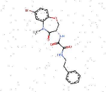 CN1C(=O)[C@@H](NC(=O)C(=O)NCCc2ccccc2)COc2ccc(Br)cc21